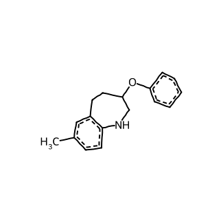 Cc1ccc2c(c1)CCC(Oc1ccccc1)CN2